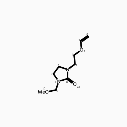 C=COCCN1CCN(COC)C1=O